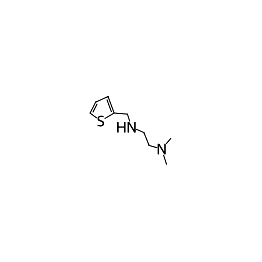 CN(C)CCNCc1cccs1